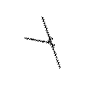 CCCCCCCCCCCC/C=C/CCCCCCCC(=O)OCC(COC(=O)CCCCCCC/C=C/CCCCCCCCCCCC)OC(=O)CCCCCCC/C=C/CCCCCCCCCCCC